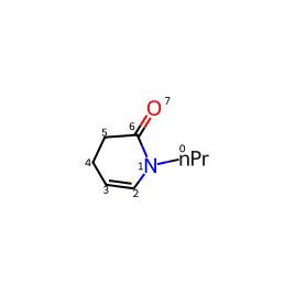 CCCN1C=CCCC1=O